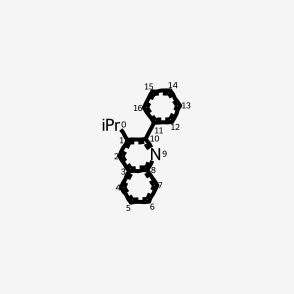 CC(C)c1cc2ccccc2nc1-c1ccccc1